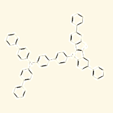 c1ccc(-c2ccc(N(c3ccc(-c4ccccc4)cc3)c3ccc(-c4ccc(-n5c6ccc(-c7ccccc7)cc6c6sc7cc(-c8ccccc8)ccc7c65)cc4)cc3)cc2)cc1